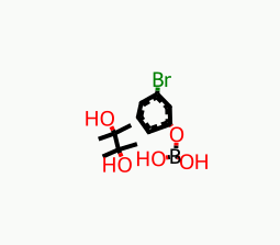 CC(C)(O)C(C)(C)O.OB(O)Oc1cccc(Br)c1